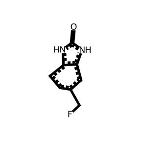 O=c1[nH]c2ccc(CF)cc2[nH]1